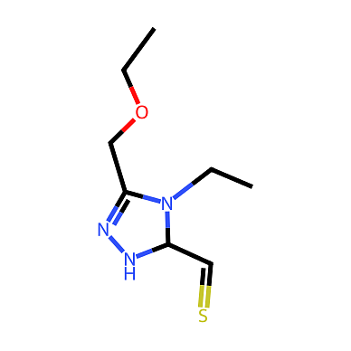 CCOCC1=NNC(C=S)N1CC